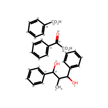 CC(C(O)c1ccccc1)C(O)c1ccccc1.O=C(O)C(=O)c1ccccc1.O=C(O)c1ccccc1